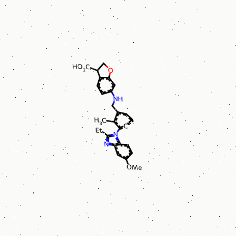 CCc1nc2cc(OC)ccc2n1-c1cccc(CNc2ccc3c(c2)OCC3C(=O)O)c1C